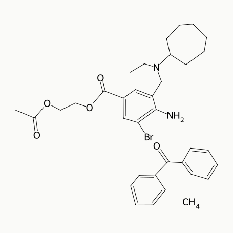 C.CCN(Cc1cc(C(=O)OCCOC(C)=O)cc(Br)c1N)C1CCCCCC1.O=C(c1ccccc1)c1ccccc1